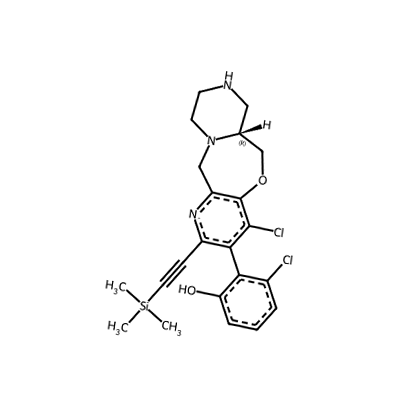 C[Si](C)(C)C#Cc1nc2c(c(Cl)c1-c1c(O)cccc1Cl)OC[C@H]1CNCCN1C2